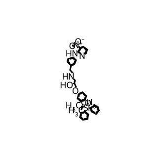 CC(C)(C)[Si](Oc1ccc(OC[C@@H](O)CNCCc2ccc(Nc3ncccc3[N+](=O)[O-])cc2)cc1)(c1ccccc1)c1ccccc1